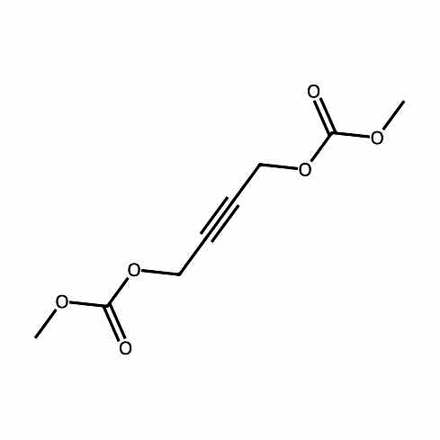 COC(=O)OCC#CCOC(=O)OC